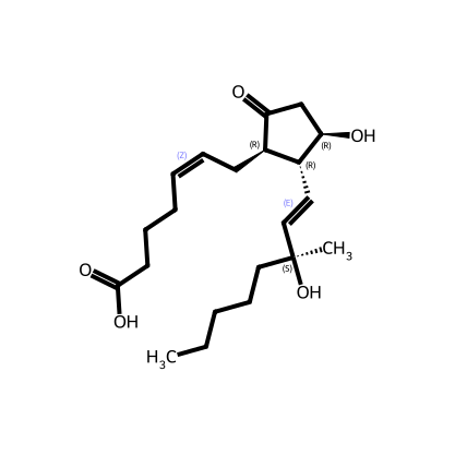 CCCCC[C@](C)(O)/C=C/[C@H]1[C@H](O)CC(=O)[C@@H]1C/C=C\CCCC(=O)O